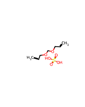 C=CCOCOCC=C.O=S(=O)(O)O